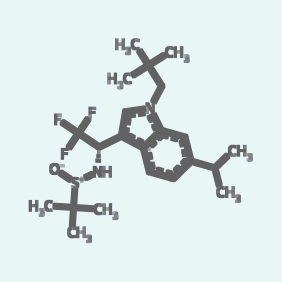 CC(C)c1ccc2c([C@H](N[S+]([O-])C(C)(C)C)C(F)(F)F)cn(CC(C)(C)C)c2c1